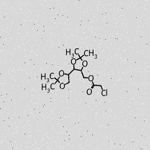 CC1(C)OCC(C2OC(C)(C)OC2COC(=O)CCl)O1